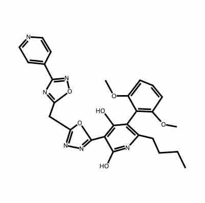 CCCCc1nc(O)c(-c2nnc(Cc3nc(-c4ccncc4)no3)o2)c(O)c1-c1c(OC)cccc1OC